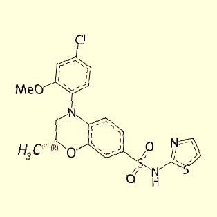 COc1cc(Cl)ccc1N1C[C@@H](C)Oc2cc(S(=O)(=O)Nc3nccs3)ccc21